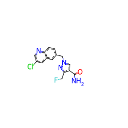 NC(=O)c1cn(Cc2ccc3ncc(Cl)cc3c2)nc1CF